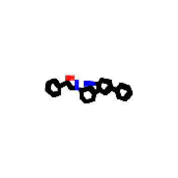 O[C@@H](CN[C@H]1CCCc2c1[nH]c1ccc(-c3ccccc3)cc21)c1ccccc1